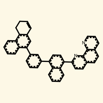 C1=Cc2cc(-c3cccc(-c4ccc(-c5ccc6ccc7cccnc7c6n5)c5ccccc45)c3)c3ccccc3c2CC1